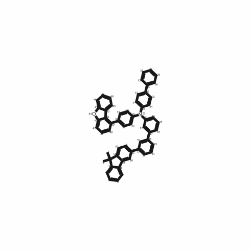 CC1(C)c2ccccc2-c2cc(-c3cccc(-c4cccc(N(c5ccc(-c6ccccc6)cc5)c5ccc(-c6cccc7oc8ccccc8c67)cc5)c4)c3)ccc21